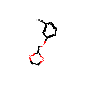 CC(C)(C)c1cccc(OCC2OCCO2)c1